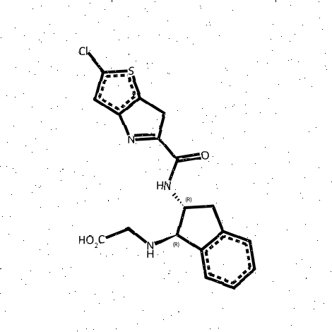 O=C(O)CN[C@@H]1c2ccccc2C[C@H]1NC(=O)C1=Nc2cc(Cl)sc2C1